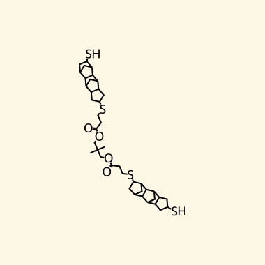 CC(C)(COC(=O)CCSC1CC2C(C1)C1CC2C2C3CC(S)C(C3)C12)COC(=O)CCSC1CC2CC1C1C3CC(C4CC(S)CC43)C21